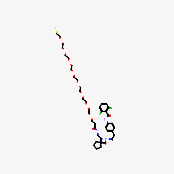 CC(=O)SCCOCCOCCOCCOCCOCCOCCOCCOCCC(=O)NCCC1(C(=O)N[C@@H](Cc2ccc(NC(=O)c3c(Cl)cccc3Cl)cc2)C(=O)O)CCCC1